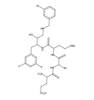 CCc1cccc(CNCC(O)C(Cc2cc(F)cc(F)c2)NC(=O)C(CCSC)NC(=O)C(NC(=O)C(N)CCC(=O)O)C(C)C)c1